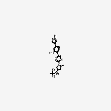 CCC(C)(CC)NC1CC(C)N(c2ncc(-c3ccc(-c4cn[nH]c4)cc3O)nn2)C1